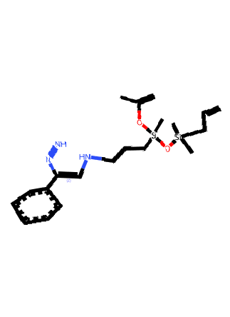 C=CC[Si](C)(C)O[Si](C)(CCCN/C=C(\N=N)c1ccccc1)OC(=C)C